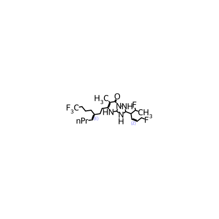 CCC/C=C(\CCCC(F)(F)F)CCC1=C(C)C(=O)N2NC(C(/C=C\CF)C(C)F)NC2N1